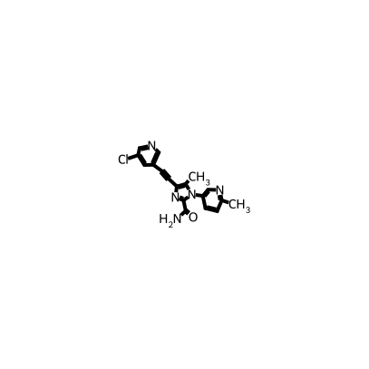 Cc1ccc(-n2c(C(N)=O)nc(C#Cc3cncc(Cl)c3)c2C)cn1